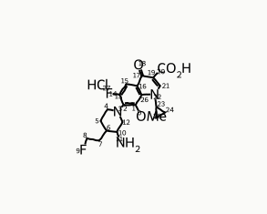 COc1c(N2CCC(CCF)C(N)C2)c(F)cc2c(=O)c(C(=O)O)cn(C3CC3)c12.Cl